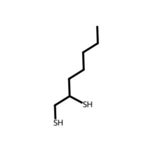 CCCCCC(S)CS